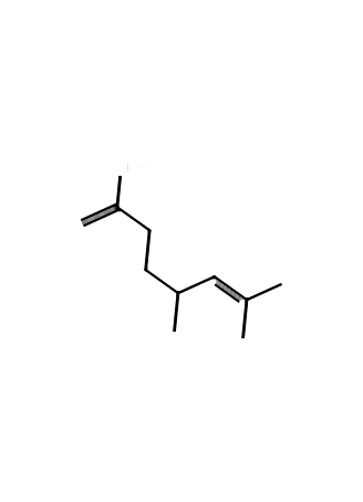 C=C(C=O)CCC(C)C=C(C)C